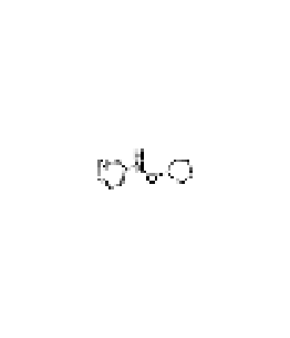 c1cncc(NOC2CCCC2)c1